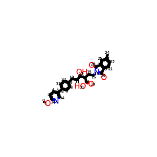 COc1ccc(-c2ccc(CC[C@@H](O)C(CCN3C(=O)c4ccc(C)cc4C3=O)C(=O)O)cc2)cn1